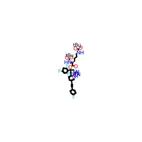 CC(C)(C)OC(=O)NCCCC[C@H](NC(=O)OC(C)(C)C)C(=O)OC(Cn1cnnn1)(c1ccc(F)cc1F)C(F)(F)c1ccc(C#Cc2ccc(F)cc2)cn1